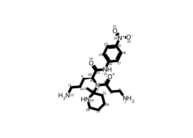 CC1(N(C(=O)CCN)[C@@H](CCCN)C(=O)Nc2ccc([N+](=O)[O-])cc2)CCCCN1